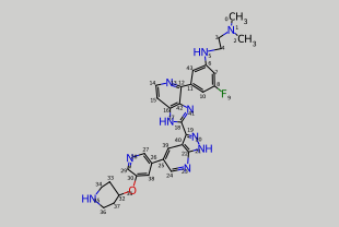 CN(C)CCNc1cc(F)cc(-c2nccc3[nH]c(-c4n[nH]c5ncc(-c6cncc(OC7CCNCC7)c6)cc45)nc23)c1